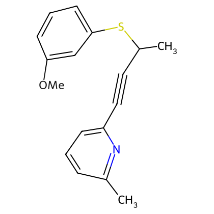 COc1cccc(SC(C)C#Cc2cccc(C)n2)c1